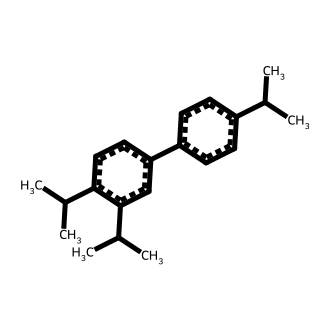 CC(C)c1ccc(-c2ccc(C(C)C)c(C(C)C)c2)cc1